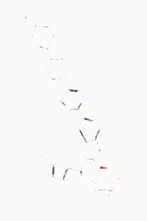 CCCC1CCC(C2CCN(c3cnc(-c4ccc(C[C@H](NC(=O)c5ccc(C(C)(C)C)s5)C(=O)N[C@H](C(=O)O)[C@@H](C)O)cc4)nc3)CC2)CC1